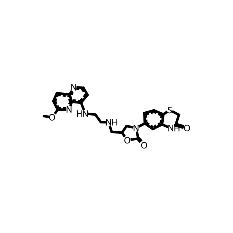 COc1ccc2nccc(NCCNCC3CN(c4ccc5c(c4)NC(=O)CS5)C(=O)O3)c2n1